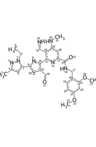 CCn1nc(C)cc1-c1nc(-c2nc(C(=O)NCc3ccc(OC)cc3OC)cc(NC)c2C=N)c(C=O)s1